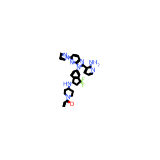 C=CC(=O)N1CCC(N[C@H]2CC(F)(F)c3cc(-n4c(-c5cccnc5N)nc5ccc(-n6cccn6)nc54)ccc32)CC1